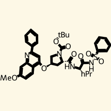 CCC[C@H](NC(=O)[C@@H]1C[C@@H](Oc2cc(-c3ccccc3)nc3cc(OC)ccc23)CN1C(=O)OC(C)(C)C)C(=O)NS(=O)(=O)c1ccccc1